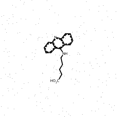 O=C(O)CCCCNc1c2ccccc2nc2ccccc12